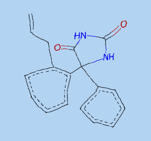 C=CCc1ccccc1C1(c2ccccc2)NC(=O)NC1=O